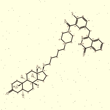 C[C@]12CCC(=O)C[C@@H]1CC[C@@H]1[C@@H]2CC[C@]2(C)[C@@H](OCCCCCN3CCN(C(=O)c4cc(Cc5n[nH]c(=O)c6ccccc56)ccc4F)CC3)CC[C@@H]12